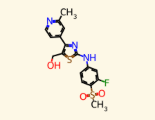 Cc1cc(-c2nc(Nc3ccc(S(C)(=O)=O)c(F)c3)sc2CO)ccn1